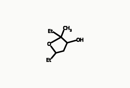 CCC1CC(O)C(C)(CC)O1